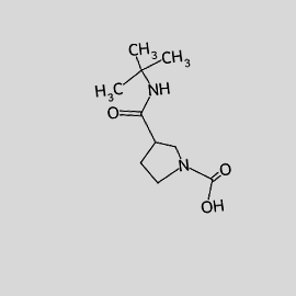 CC(C)(C)NC(=O)C1CCN(C(=O)O)C1